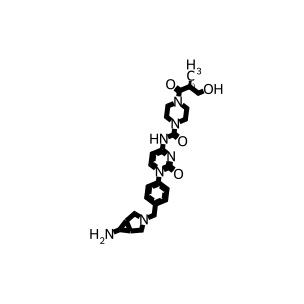 C[C@@H](CO)C(=O)N1CCN(C(=O)Nc2ccn(-c3ccc(CN4CC5C(N)C5C4)cc3)c(=O)n2)CC1